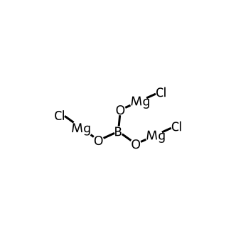 [Cl][Mg][O]B([O][Mg][Cl])[O][Mg][Cl]